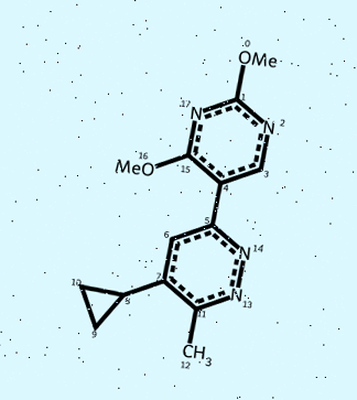 COc1ncc(-c2cc(C3CC3)c(C)nn2)c(OC)n1